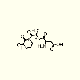 CC(NC(=O)C(N)CC(=O)O)C(=O)N1CCNC(=O)C1=O